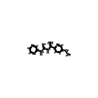 CC(C)Oc1ccc(C(=N)NC(=S)Nc2[c]nccn2)nc1